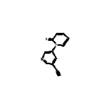 C#Cc1cncc(-n2ccccc2=O)c1